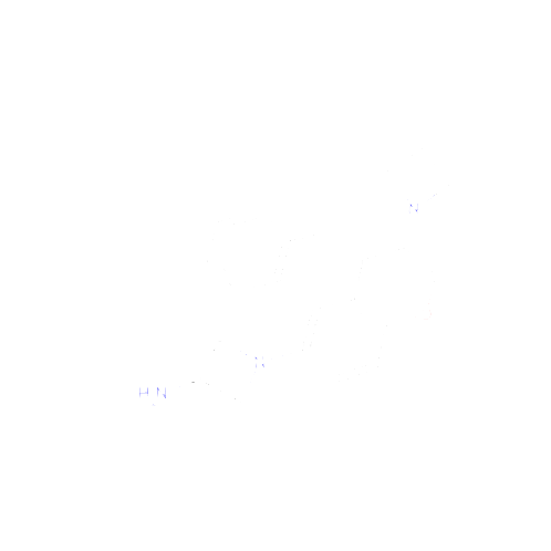 NC1CN(c2ccc3c(c2)[C@H](Cc2ccccc2)[C@H](N2CCC2)CO3)C1